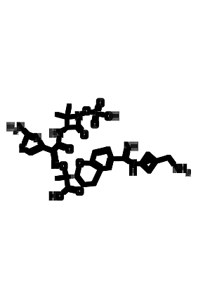 CC(O/N=C(\C(=O)N[C@@H]1C(=O)N(OS(=O)(=O)O)C1(C)C)c1csc(N)n1)(C(=O)O)[C@H]1CCc2cc(C(=N)NC34CC(CN)(C3)C4)ccc2O1